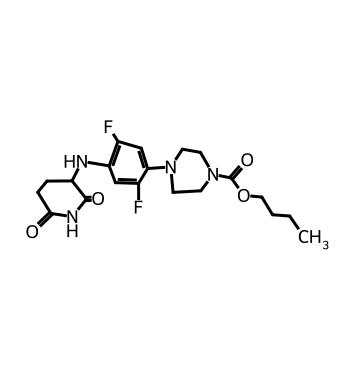 CCCCOC(=O)N1CCN(c2cc(F)c(NC3CCC(=O)NC3=O)cc2F)CC1